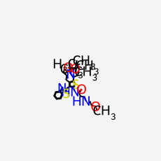 CCC1Cc2c(sc(NC(=O)CCNCCOC)c2-c2nc3ccccc3s2)C(CC)N1C(=O)OC(C)(C)C